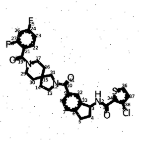 O=C(NC1CCc2ccc(C(=O)N3CCC4(CCN(C(=O)c5ccc(F)cc5F)CC4)C3)cc21)c1sccc1Cl